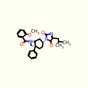 COc1ccccc1C(=O)NC[C@]1(c2ccccc2)CC[C@H](N2C(=O)N=C(CC(C)C)C2=O)CC1